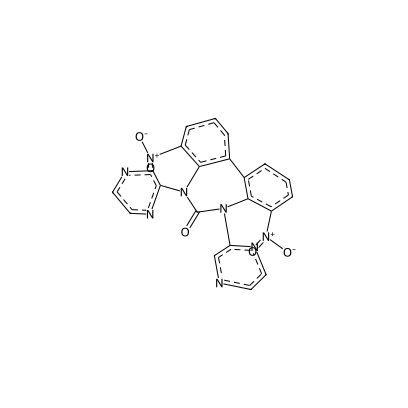 O=C1N(c2cnccn2)c2c(cccc2[N+](=O)[O-])-c2cccc([N+](=O)[O-])c2N1c1cnccn1